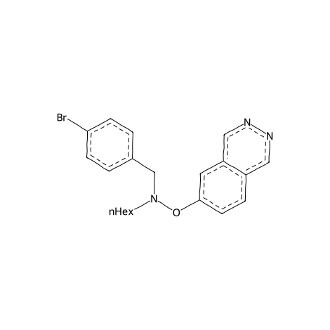 CCCCCCN(Cc1ccc(Br)cc1)Oc1ccc2cnncc2c1